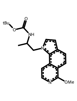 COc1nccc2c1ccc1ccn(CC(C)NC(=O)OC(C)(C)C)c12